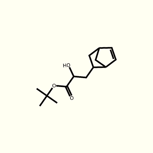 CC(C)(C)OC(=O)C(O)CC1CC2C=CC1C2